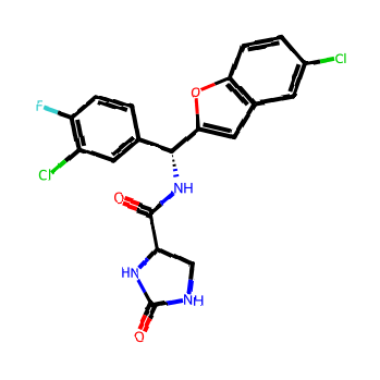 O=C1NCC(C(=O)N[C@H](c2ccc(F)c(Cl)c2)c2cc3cc(Cl)ccc3o2)N1